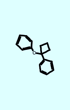 c1ccc(OC2(c3ccccc3)CCC2)cc1